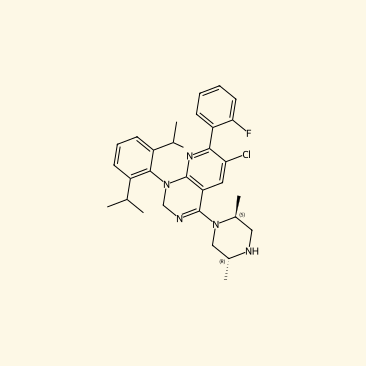 CC(C)c1cccc(C(C)C)c1N1CN=C(N2C[C@@H](C)NC[C@@H]2C)c2cc(Cl)c(-c3ccccc3F)nc21